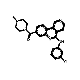 CN1CCN(C(=O)c2ccc3c(c2)nc(Nc2cccc(Cl)c2)c2ccncc23)CC1